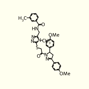 COc1ccc(C2=NN(C(=O)CSc3nnc(CNC(=O)c4cccc(C)c4)n3C)C(c3ccc(OC)cc3)C2)cc1